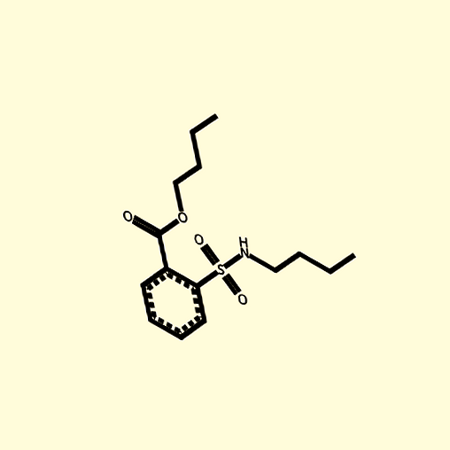 CCCCNS(=O)(=O)c1ccccc1C(=O)OCCCC